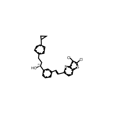 O[C@@H](CCc1ccc(C2CC2)cc1)c1cccc(C=Cc2ccc3sc(Cl)c(Cl)c3n2)c1